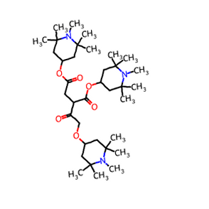 CN1C(C)(C)CC(OCC(=O)C(CC(=O)OC2CC(C)(C)N(C)C(C)(C)C2)C(=O)OC2CC(C)(C)N(C)C(C)(C)C2)CC1(C)C